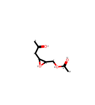 CC(=O)CC1OC1COC(C)=O